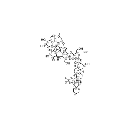 C[C@@H]1CC[C@@]2(OC1)O[C@H]1[C@@H](OS(=O)(=O)[O-])[C@H]3[C@@H]4CC[C@H]5C[C@@H](O[C@@H]6O[C@H](CO)[C@H](O[C@@H]7O[C@H](CO)C(O)[C@H](O[C@@H]8OC[C@@H](O)[C@H](O)[C@H]8O)[C@H]7O[C@@H]7O[C@H](CO)[C@H](O)[C@H](O[C@@H]8O[C@H](CO)[C@@H](O)[C@H](O)[C@H]8O)[C@H]7O)[C@H](O)[C@H]6O)[C@H](O)C[C@]5(C)[C@H]4CC[C@]3(C)[C@H]1[C@@H]2C.[Na+]